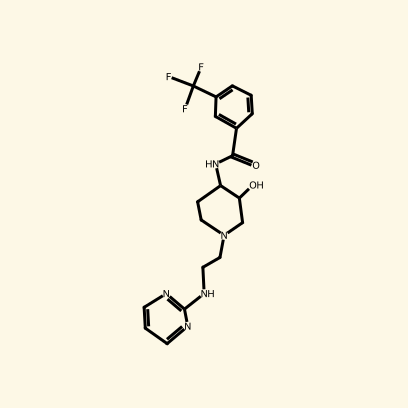 O=C(NC1CCN(CCNc2ncccn2)CC1O)c1cccc(C(F)(F)F)c1